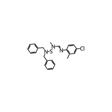 Cc1cc(Cl)ccc1N=CN(C)SN(Cc1ccccc1)Cc1ccccc1